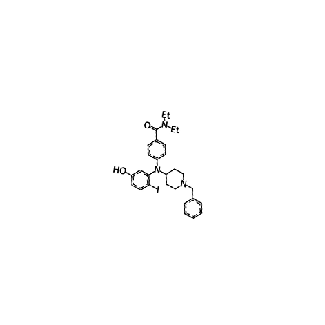 CCN(CC)C(=O)c1ccc(N(c2cc(O)ccc2I)C2CCN(Cc3ccccc3)CC2)cc1